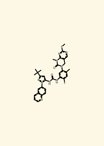 CSc1ncc2c(n1)N(C)C(=O)N(c1cc(NC(=O)Nc3cc(C(C)(C)C)nn3-c3ccc4ncccc4c3)c(F)cc1C)C2